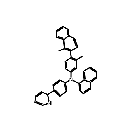 Cc1cc(N(c2ccc(C3C=CC=CN3)cc2)c2cccc3ccccc23)ccc1-c1ccc2ccccc2c1C